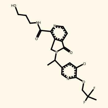 CC(c1cnc(OCC(C)(F)F)c(Cl)c1)N1Cc2c(ccnc2C(=O)NCCCO)C1=O